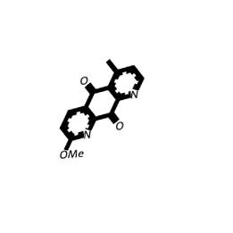 COc1ccc2c(n1)C(=O)c1nccc(C)c1C2=O